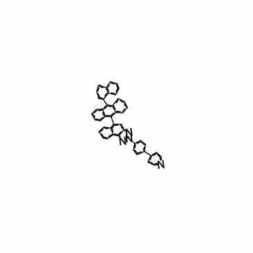 c1ccc2c(-c3c4ccccc4c(-c4cc5nn(-c6ccc(-c7ccncc7)cc6)nc5c5ccccc45)c4ccccc34)cccc2c1